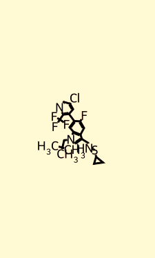 CC(C)(C)Cn1cc(CNSC2CC2)c2cc(F)c(-c3cc(Cl)cnc3C(F)(F)F)cc21